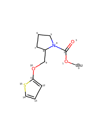 CC(C)(C)OC(=O)N1CCCC1COc1cccs1